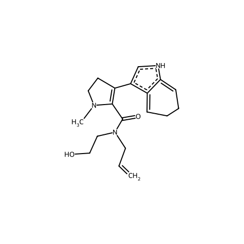 C=CCN(CCO)C(=O)C1=C(c2c[nH]c3c2=CCCC=3)CCN1C